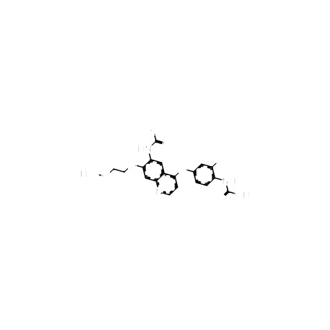 COCCOc1cc2nccc(Oc3ccc(NC(=O)O)c(Cl)c3)c2cc1NC(C)=O